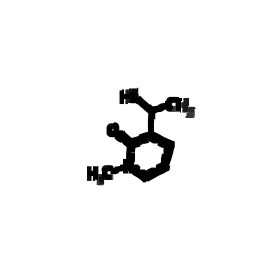 CC(S)c1cccn(C)c1=O